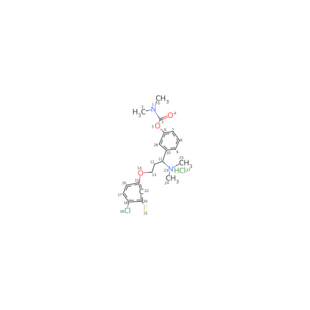 CN(C)C(=O)Oc1cccc(C(CCOc2ccc(Cl)c(F)c2)N(C)C)c1.Cl